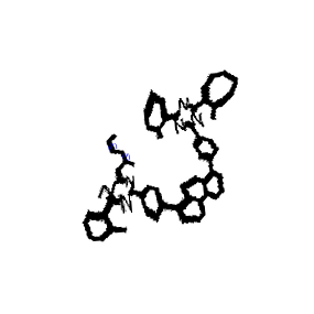 C/C=C\C=C(\C)Cc1nc(-c2ccc(-c3cccc4c3ccc3c(-c5ccc(-c6nc(C7=CCC=CC=C7C)nc(-c7ccccc7C)n6)cc5)cccc34)cc2)nc(-c2ccccc2C)n1